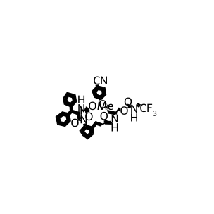 COC(=O)N[C@H](C(=O)Nc1ccccc1CC[C@@H]1CN[C@H](COC(=O)NCC(F)(F)F)[C@@H](COc2ccc(C#N)cc2)O1)C(c1ccccc1)c1ccccc1